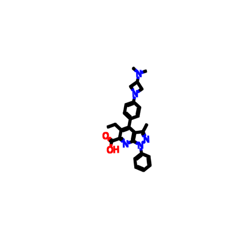 CCc1c(C(=O)O)nc2c(c(C)nn2-c2ccccc2)c1-c1ccc(N2CC(N(C)C)C2)cc1